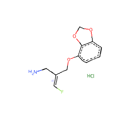 Cl.NC/C(=C/F)COc1cccc2c1OCO2